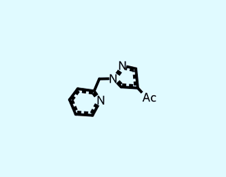 CC(=O)c1cnn(Cc2ccccn2)c1